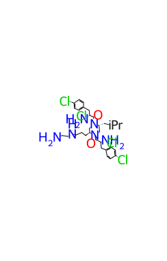 CC(C)C[C@@H]1CN(C(=O)[C@H](N)Cc2ccc(Cl)cc2Cl)[C@@H](CCCNCCN)CN1C(=O)[C@H](N)Cc1ccc(Cl)cc1Cl